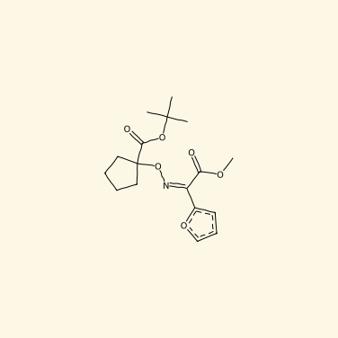 COC(=O)C(=NOC1(C(=O)OC(C)(C)C)CCCC1)c1ccco1